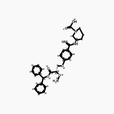 N=C(N[C@@H]1CCCN(C(=O)O)C1)c1ccc(OC[C@H](ON)C(=O)OC(c2ccccc2)c2ccccc2)cc1